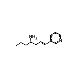 CCCC(N)CC=Cc1cccnc1